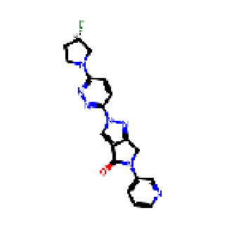 O=C1c2cn(-c3ccc(N4CC[C@H](F)C4)nn3)nc2CN1c1cccnc1